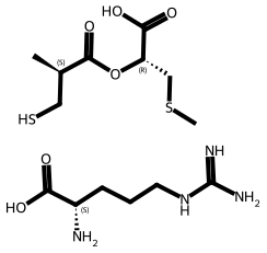 CSC[C@H](OC(=O)[C@H](C)CS)C(=O)O.N=C(N)NCCC[C@H](N)C(=O)O